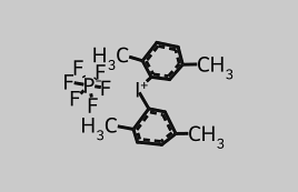 Cc1ccc(C)c([I+]c2cc(C)ccc2C)c1.F[P-](F)(F)(F)(F)F